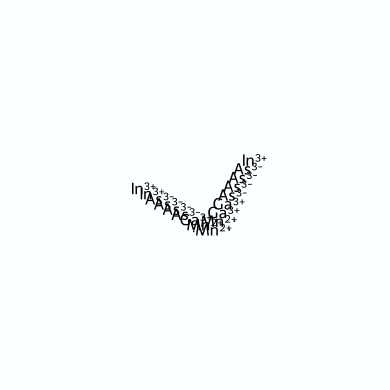 [As-3].[As-3].[As-3].[As-3].[As-3].[As-3].[As-3].[As-3].[Ga+3].[Ga+3].[Ga+3].[In+3].[In+3].[In+3].[Mn+2].[Mn+2].[Mn+2]